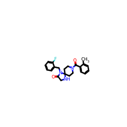 Cc1ccccc1C(=O)N1CCC2(CC1)NCC(=O)N2Cc1ccccc1F